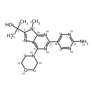 Cn1c(C(C)(C)O)nc2c(N3CCOCC3)nc(-c3cnc(N)nc3)nc21